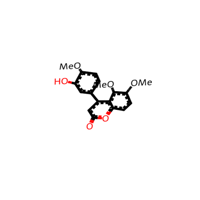 COc1ccc(-c2cc(=O)oc3ccc(OC)c(OC)c23)cc1O